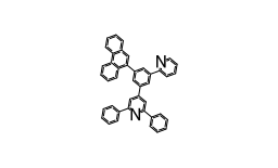 c1ccc(-c2cc(-c3cc(-c4ccccn4)cc(-c4cc5ccccc5c5ccccc45)c3)cc(-c3ccccc3)n2)cc1